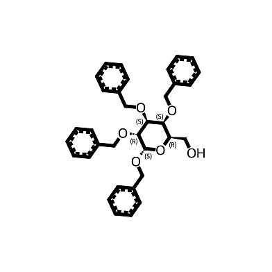 OC[C@H]1O[C@H](OCc2ccccc2)[C@H](OCc2ccccc2)[C@@H](OCc2ccccc2)[C@H]1OCc1ccccc1